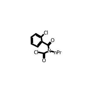 CCCN(C(=O)Cl)C(=O)c1ccccc1Cl